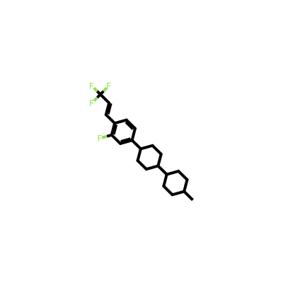 CC1CCC(C2CCC(c3ccc(/C=C/C(F)(F)F)c(F)c3)CC2)CC1